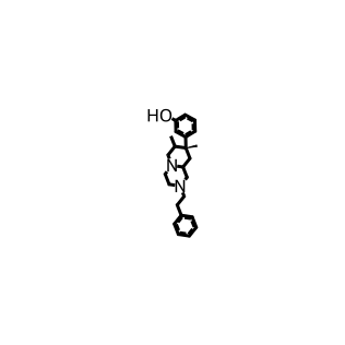 CC1CN2CCN(CCc3ccccc3)CC2C[C@@]1(C)c1cccc(O)c1